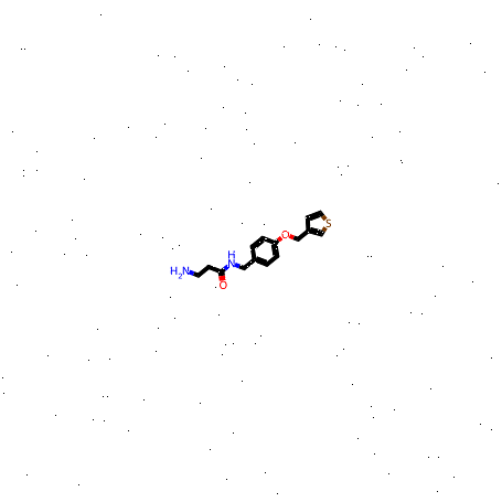 NCCC(=O)NCc1ccc(OCc2ccsc2)cc1